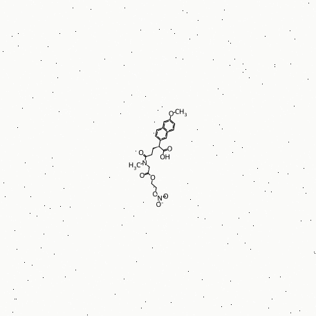 COc1ccc2cc([C@H](CCC(=O)N(C)CC(=O)OCCO[N+](=O)[O-])C(=O)O)ccc2c1